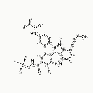 C=C(F)C(=O)Nc1ccc(-c2c(-c3cnc(C(=O)NCC(F)(F)F)c(F)c3)c3c(N)ncc(C#CCO)c3n2C)cc1